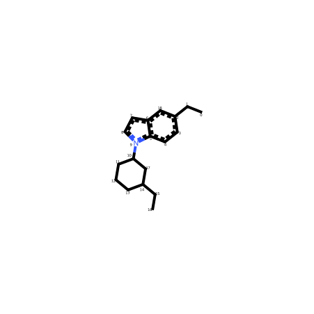 CCc1ccc2c(ccn2C2CCCC(CC)C2)c1